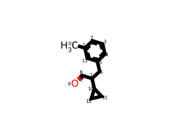 Cc1cccc(CC(C=O)C2CC2)c1